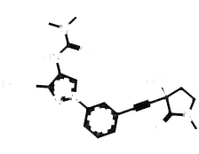 CCOC(=O)c1nn(-c2cccc(C#C[C@]3(O)CCN(C)C3=O)c2)cc1NC(=O)N(C)C